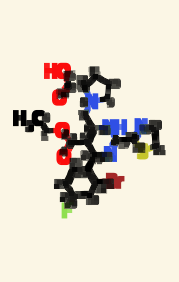 CCOC(=O)C1=C(CN2CCC[C@H]2C(=O)O)NC(c2nccs2)=N[C@H]1c1ccc(F)cc1Br